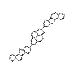 c1ccc2c(c1)ccc1c3ccc(-c4cc5ccc6cc(-c7ccc8c(c7)sc7c9ccccc9ccc87)cc7ccc(c4)c5c67)cc3sc21